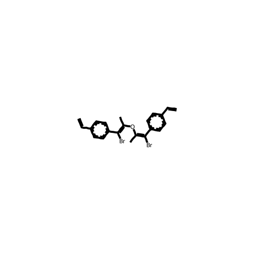 C=Cc1ccc(C(Br)=C(C)OC(C)=C(Br)c2ccc(C=C)cc2)cc1